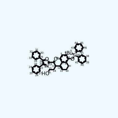 CC(C)(C)[Si](Oc1cccc2c1CCC=C2C(CCO)C(=O)c1nc(-c2ccccc2)c(-c2ccccc2)o1)(c1ccccc1)c1ccccc1